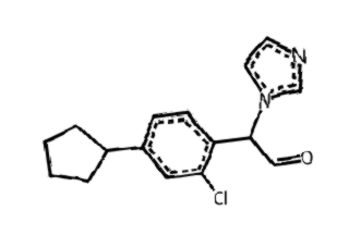 O=CC(c1ccc(C2CCCC2)cc1Cl)n1ccnc1